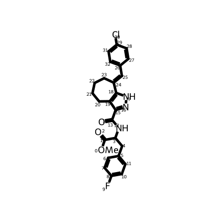 COC(=O)C(Cc1ccc(F)cc1)NC(=O)c1n[nH]c2c1CCCCC2=Cc1ccc(Cl)cc1